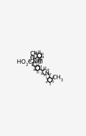 Cc1ccccc1CN1CC=C(c2ccc(C[C@H](NC(=O)c3c(Cl)cccc3Cl)C(=O)O)cc2)CC1